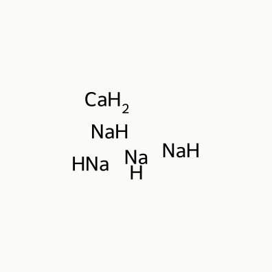 [CaH2].[NaH].[NaH].[NaH].[NaH]